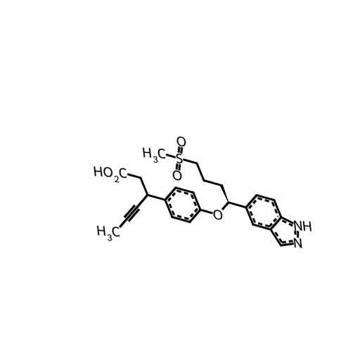 CC#CC(CC(=O)O)c1ccc(O[C@@H](CCCS(C)(=O)=O)c2ccc3[nH]ncc3c2)cc1